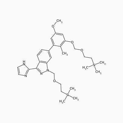 COc1cc(OCOCC[Si](C)(C)C)c(C)c(-c2ccc3c(-c4ncc[nH]4)nn(COCC[Si](C)(C)C)c3c2)c1